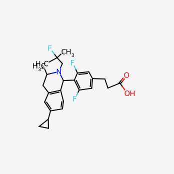 CC1Cc2cc(C3CC3)ccc2C(c2c(F)cc(CCC(=O)O)cc2F)N1CC(C)(C)F